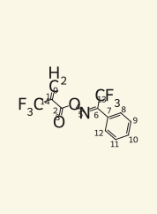 C=C(C(=O)ON=C(c1ccccc1)C(F)(F)F)C(F)(F)F